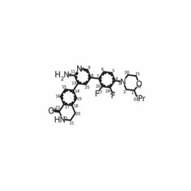 CC(C)C1CN(c2ccc(-c3cnc(N)c(-c4ccc5c(c4)CCNC5=O)c3)c(F)c2F)CCO1